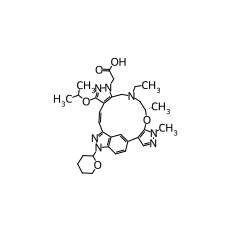 CCN1Cc2c(c(OC(C)C)nn2CC(=O)O)/C=C\c2nn(C3CCCCO3)c3ccc(cc23)-c2cnn(C)c2O[C@@H](C)C1